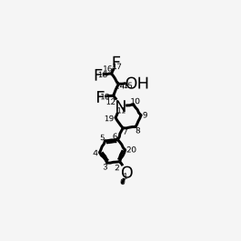 COc1cccc(C2CCCN(C(F)C(O)C(F)F)C2)c1